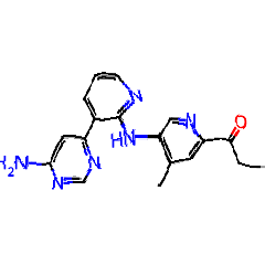 CCC(=O)c1cc(C)c(Nc2ncccc2-c2cc(N)ncn2)cn1